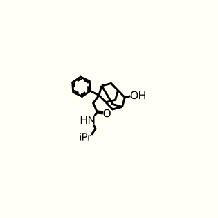 CC(C)CNC(=O)CC1(c2ccccc2)C2CC3CC1CC(C2)C3O